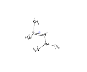 C/C(N)=N/N(C)N